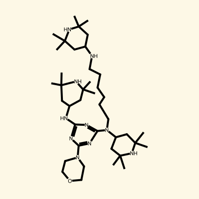 CC1(C)CC(NCCCCCCN(c2nc(NC3CC(C)(C)NC(C)(C)C3)nc(N3CCOCC3)n2)C2CC(C)(C)NC(C)(C)C2)CC(C)(C)N1